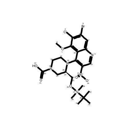 COc1c(Cl)c(Br)cc2ncc([N+](=O)[O-])c(N3CCN(C(=O)O)C[C@@H]3CO[Si](C)(C)C(C)(C)C)c12